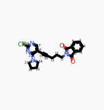 O=C1c2ccccc2C(=O)N1CCCC#Cc1cnc(Cl)nc1N1CCCC1